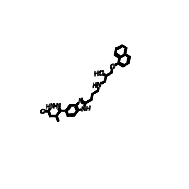 CC1CC(=O)NN=C1c1ccc2[nH]c(CCCNCC(O)COc3cccc4ccccc34)nc2c1